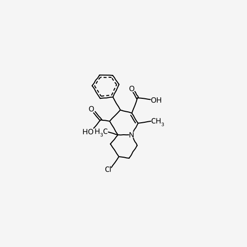 CC1=C(C(=O)O)C(c2ccccc2)C(C(=O)O)C2(C)CC(Cl)CCN12